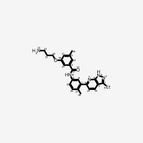 CCc1n[nH]c2nc(-c3cc(NC(=O)c4cc(C)cc(OCCCN)c4)ccc3C)ccc12